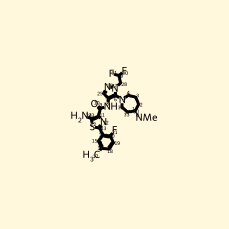 CN[C@H]1CCCN(c2c(NC(=O)c3nc(-c4cc(C)ccc4F)sc3N)cnn2CC(F)F)CC1